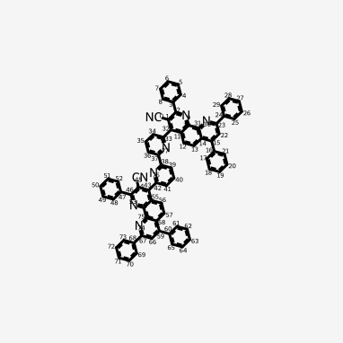 N#Cc1c(-c2ccccc2)nc2c(ccc3c(-c4ccccc4)cc(-c4ccccc4)nc32)c1-c1cccc(-c2cccc(-c3c(C#N)c(-c4ccccc4)nc4c3ccc3c(-c5ccccc5)cc(-c5ccccc5)nc34)n2)n1